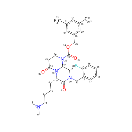 CN(C)CCCC[C@H]1C(=O)N(Cc2ccccc2F)CC2N(C(=O)OCc3cc(C(F)(F)F)cc(C(F)(F)F)c3)CCC(=O)N21